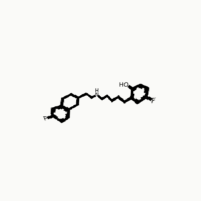 Oc1ccc(F)cc1CCCCCNCCC1CCc2cc(F)ccc2C1